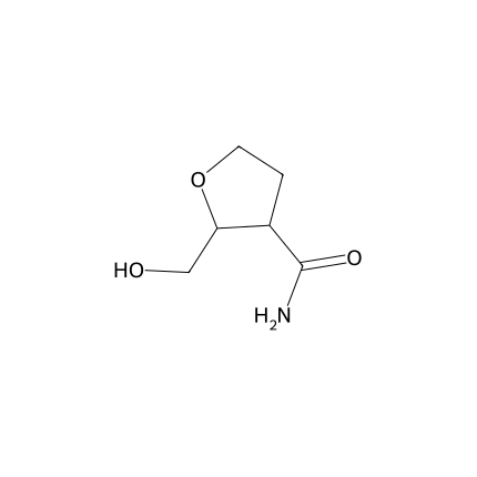 NC(=O)C1CCOC1CO